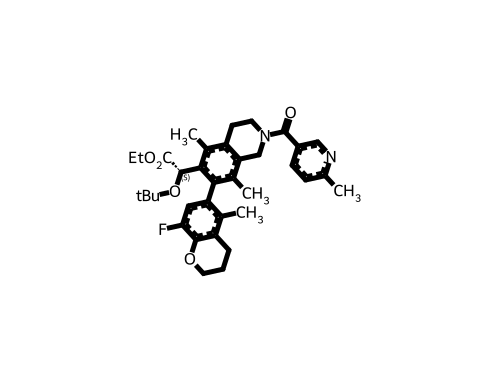 CCOC(=O)[C@@H](OC(C)(C)C)c1c(C)c2c(c(C)c1-c1cc(F)c3c(c1C)CCCO3)CN(C(=O)c1ccc(C)nc1)CC2